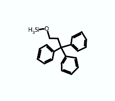 [SiH3]OCCC(c1ccccc1)(c1ccccc1)c1ccccc1